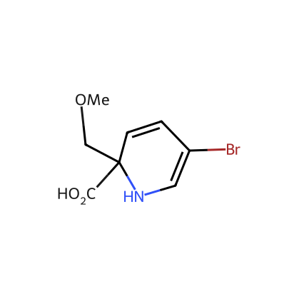 COCC1(C(=O)O)C=CC(Br)=CN1